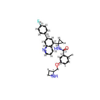 Cc1ccc(OCC2CCN2)cc1C(=O)NC1(c2cc(-c3ccc(F)cc3)cc3ncccc23)CC1